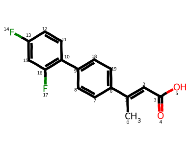 CC(=CC(=O)O)c1ccc(-c2ccc(F)cc2F)cc1